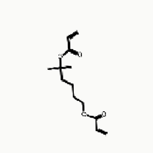 C=CC(=O)OCCCCC(C)(C)OC(=O)C=C